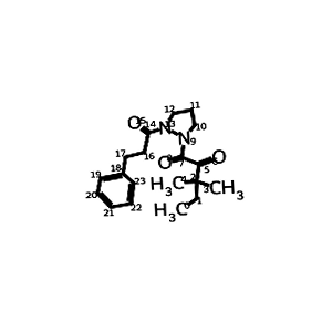 CCC(C)(C)C(=O)C(=O)N1CCCN1C(=O)CCc1ccccc1